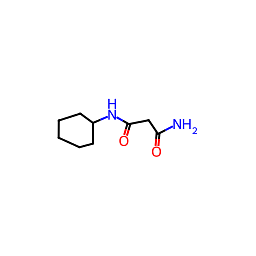 NC(=O)CC(=O)NC1CCCCC1